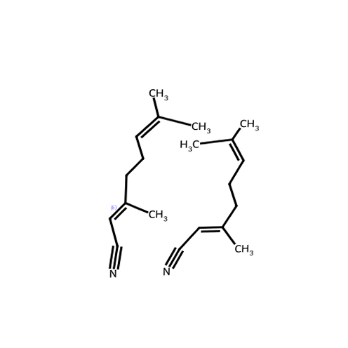 CC(C)=CCC/C(C)=C/C#N.CC(C)=CCCC(C)=CC#N